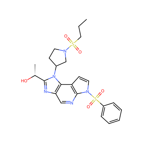 CCCS(=O)(=O)N1CCC(n2c([C@@H](C)O)nc3cnc4c(ccn4S(=O)(=O)c4ccccc4)c32)C1